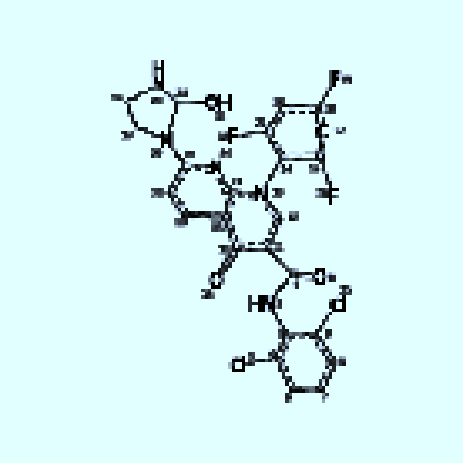 O=C(Nc1c(Cl)cccc1Cl)c1cn(-c2c(F)cc(F)cc2F)c2nc(N3CCNC3O)ccc2c1=O